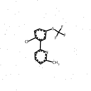 Cc1cccc(-c2cc(SC(F)(F)F)ccc2Cl)n1